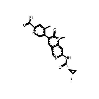 CCC(=O)c1cc(C)c(-c2cc3cnc(NC(=O)[C@@H]4C[C@@H]4F)cc3n(C)c2=O)cn1